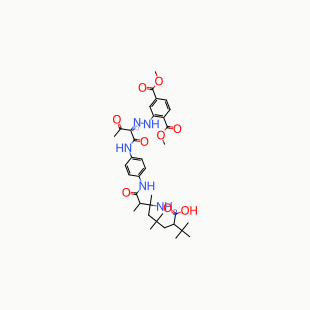 COC(=O)c1ccc(C(=O)OC)c(N/N=C(/C(C)=O)C(=O)Nc2ccc(NC(=O)C(C)C(C)(N)CC(C)(C)CC(C(=O)O)C(C)(C)C)cc2)c1